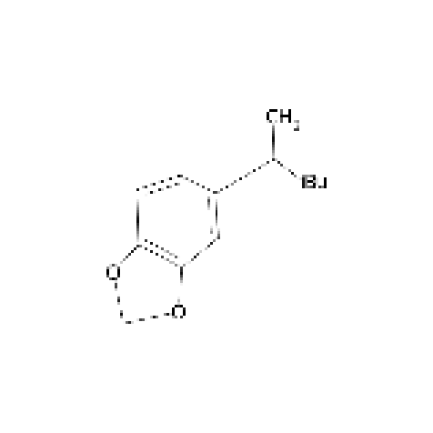 CCC(C)C(C)c1ccc2c(c1)OCO2